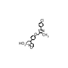 Cc1nc(-c2ccc(Cl)cc2)sc1COc1ccc([C@H](CC(=O)O)c2ccon2)cc1